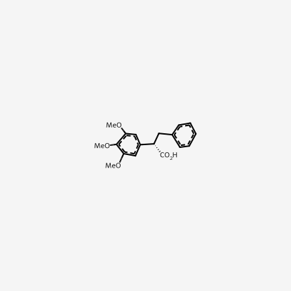 COc1cc([C@H](Cc2ccccc2)C(=O)O)cc(OC)c1OC